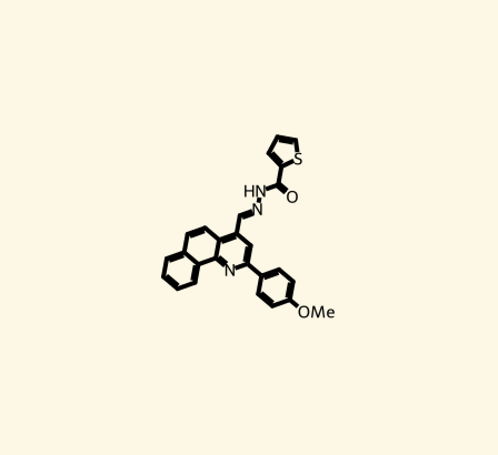 COc1ccc(-c2cc(C=NNC(=O)c3cccs3)c3ccc4ccccc4c3n2)cc1